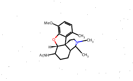 COc1ccc(C)c2c1O[C@H]1C(NC(C)=O)CCC3C(C)N(C)CC[C@@]231